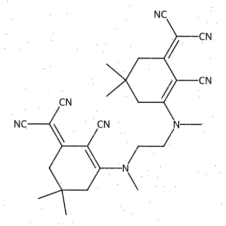 CN(CCN(C)C1=C(C#N)C(=C(C#N)C#N)CC(C)(C)C1)C1=C(C#N)C(=C(C#N)C#N)CC(C)(C)C1